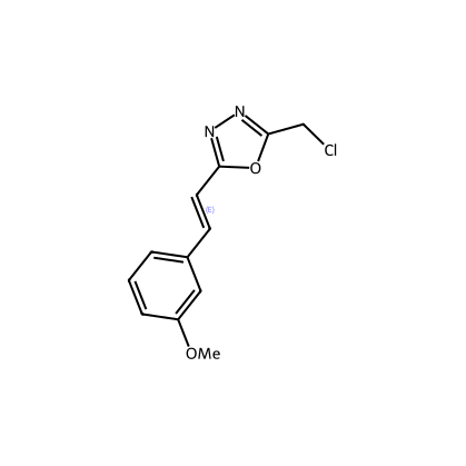 COc1cccc(/C=C/c2nnc(CCl)o2)c1